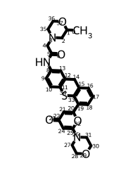 CC1CN(CC(=O)Nc2ccc3c(c2)Cc2cccc(-c4cc(=O)cc(N5CCOCC5)o4)c2S3)CCO1